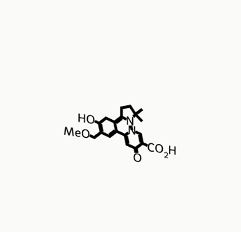 COCC1=C(O)CC2=C3CCC(C)(C)N3n3cc(C(=O)O)c(=O)cc3C2=C1